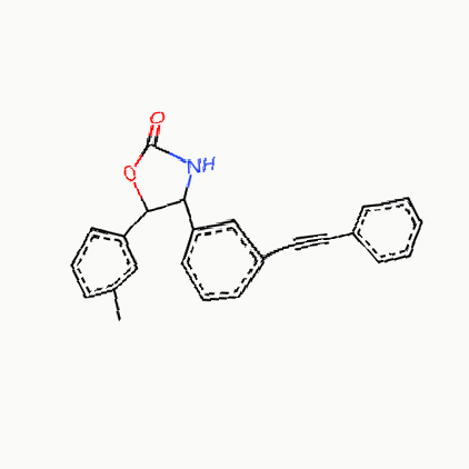 Cc1cccc(C2OC(=O)NC2c2cccc(C#Cc3ccccc3)c2)c1